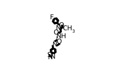 Cc1oc(-c2ccc(F)cc2)nc1CC(=O)NC[C@H]1CN(Cc2ccc3nnsc3c2)CCO1